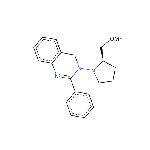 COC[C@H]1CCCN1N1Cc2ccccc2N=C1c1ccccc1